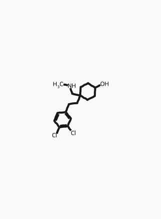 CNCC1(CCc2ccc(Cl)c(Cl)c2)CCC(O)CC1